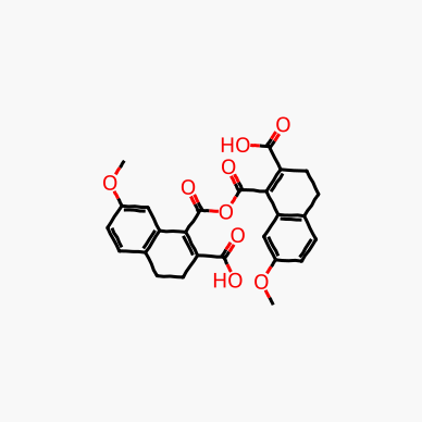 COc1ccc2c(c1)C(C(=O)OC(=O)C1=C(C(=O)O)CCc3ccc(OC)cc31)=C(C(=O)O)CC2